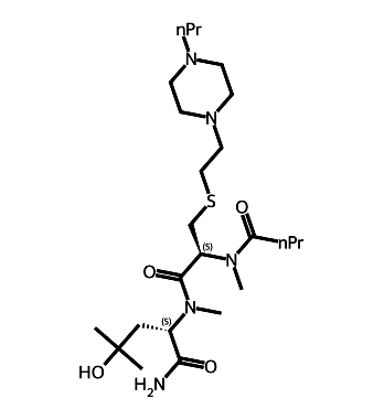 CCCC(=O)N(C)[C@H](CSCCN1CCN(CCC)CC1)C(=O)N(C)[C@@H](CC(C)(C)O)C(N)=O